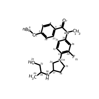 CCCCOc1ccc(C(=O)N(C)c2ccc(N3CCC(NC(C)CO)C3)c(F)c2)cc1